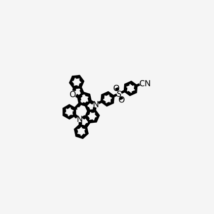 N#Cc1ccc(S(=O)(=O)c2ccc(-n3c4cc5c6ccccc6oc5c5c6ccccc6n6c7ccccc7c7ccc3c(c54)c76)cc2)cc1